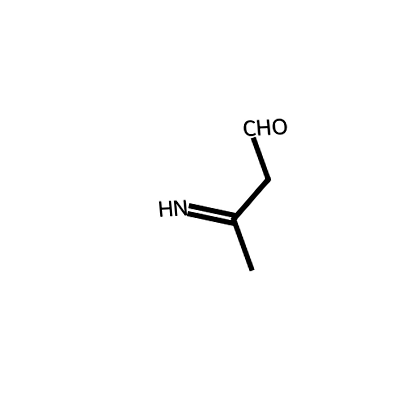 CC(=N)CC=O